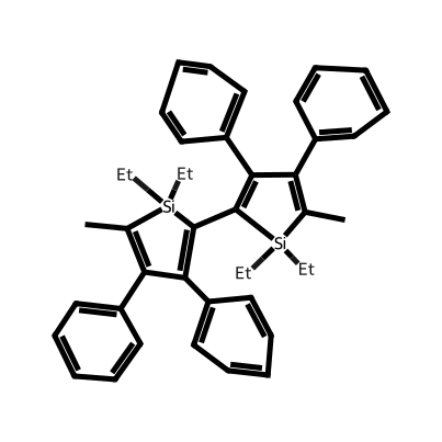 CC[Si]1(CC)C(C)=C(c2ccccc2)C(c2ccccc2)=C1C1=C(c2ccccc2)C(c2ccccc2)=C(C)[Si]1(CC)CC